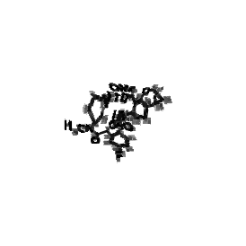 CCN1CCC(N(C)C(=O)Cc2cc(F)ccc2S(=O)(=O)Nc2ccc3c(c2C(=O)OC)OCC2CC32)C1